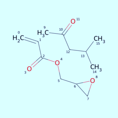 C=CC(=O)OCC1CO1.CC(=O)CC(C)C